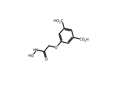 O=C(COc1cc(C(=O)O)cc(C(=O)O)c1)NO